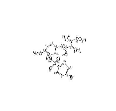 COc1ccc(NC(=O)[C@H](C)N(C)C(=O)O)cc1NS(=O)(=O)c1ccc(Br)cc1